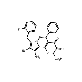 CCc1c(N)c2c3c(c(-c4ccccc4)nn2c1Cc1ccccc1F)C(=O)C(=O)C(C(=O)O)O3